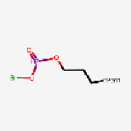 CCCCCCCCO[PH](=O)OBr